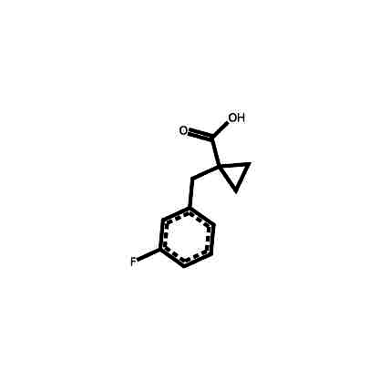 O=C(O)C1(Cc2cccc(F)c2)CC1